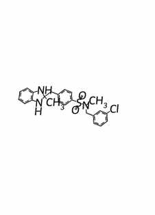 CN(Cc1cccc(Cl)c1)S(=O)(=O)c1ccc(CC2(C)Nc3ccccc3N2)cc1